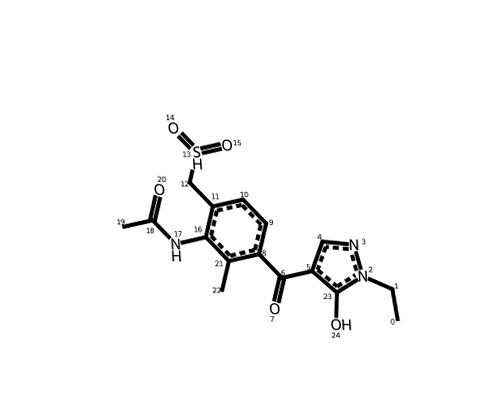 CCn1ncc(C(=O)c2ccc(C[SH](=O)=O)c(NC(C)=O)c2C)c1O